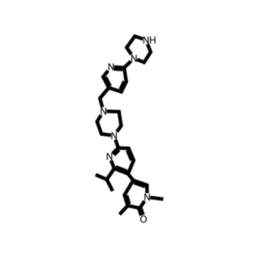 Cc1cc(-c2ccc(N3CCN(Cc4ccc(N5CCNCC5)nc4)CC3)nc2C(C)C)cn(C)c1=O